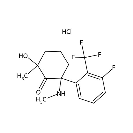 CNC1(c2cccc(F)c2C(F)(F)F)CCCC(C)(O)C1=O.Cl